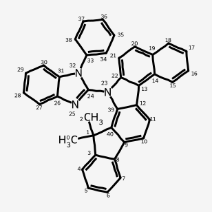 CC1(C)c2ccccc2-c2ccc3c4c5ccccc5ccc4n(-c4nc5ccccc5n4-c4ccccc4)c3c21